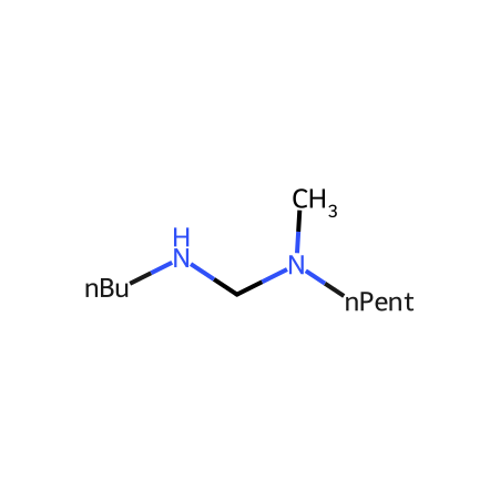 CCCCCN(C)CNCCCC